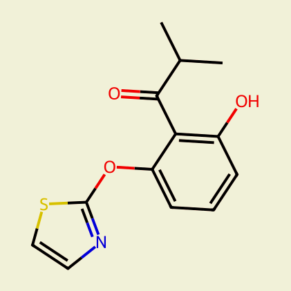 CC(C)C(=O)c1c(O)cccc1Oc1nccs1